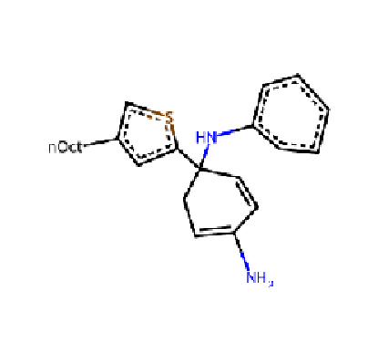 CCCCCCCCc1csc(C2(Nc3ccccc3)C=CC(N)=CC2)c1